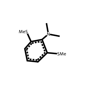 CSc1cccc(SC)c1N(C)C